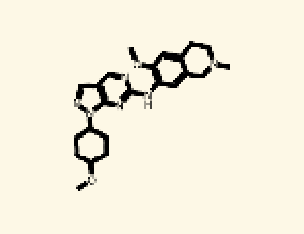 COc1cc2c(cc1Nc1ncc3cnn(C4CCC(OC)CC4)c3n1)CN(C)CC2